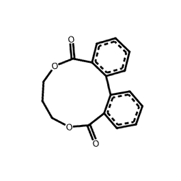 O=C1OCCCOC(=O)c2ccccc2-c2ccccc21